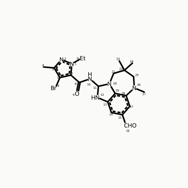 CCn1nc(C)c(Br)c1C(=O)NC1Nc2cc(C=O)cc3c2N1CC(C)(C)CN3C